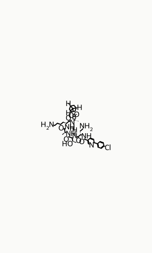 C[C@H](NC(=O)[C@H](CCCCN)NC(=O)[C@H](C)NC(=O)[C@@H](NC(=O)[C@H](CCN)NC(=O)c1ccc(-c2ccc(Cl)cc2)nc1)[C@@H](C)O)B1OC2[C@H]3C[C@@H](C[C@H]2O1)C3(C)C